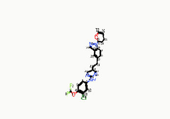 FC(F)Oc1ccc(Nc2ncc(CCc3ccc4c(cnn4C4CCCCO4)c3)cn2)cc1Cl